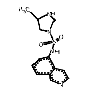 CC1CN(S(=O)(=O)Nc2cccc3cnccc23)CN1